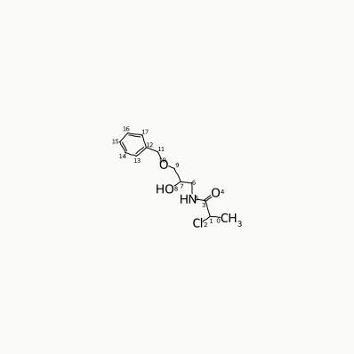 CC(Cl)C(=O)NCC(O)COCc1ccccc1